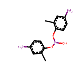 Cc1cc(P)ccc1OP(O)Oc1ccc(P)cc1C